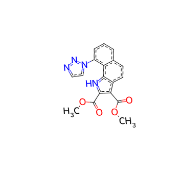 COC(=O)c1[nH]c2c(ccc3cccc(-n4ccnn4)c32)c1C(=O)OC